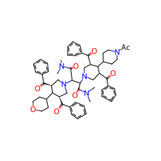 CC(=O)N1CCC(C2C(C(=O)c3ccccc3)CN(C(C(=O)N(C)C)C(C(=O)N(C)C)N3C[C@H](C(=O)c4ccccc4)C(C4CCOCC4)[C@H](C(=O)c4ccccc4)C3)CC2C(=O)c2ccccc2)CC1